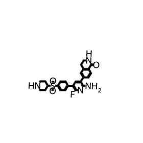 Nc1nc(F)c(-c2ccc(S(=O)(=O)C3CCNCC3)cc2)cc1-c1ccc2c(c1)CCNC2=O